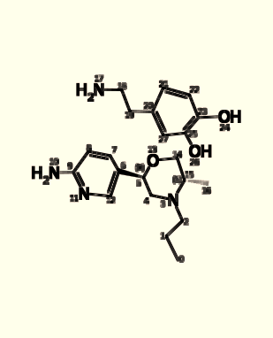 CCCN1C[C@@H](c2ccc(N)nc2)OC[C@@H]1C.NCCc1ccc(O)c(O)c1